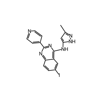 Cc1cc(Nc2nc(-c3ccncc3)nc3ccc(I)cc23)[nH]n1